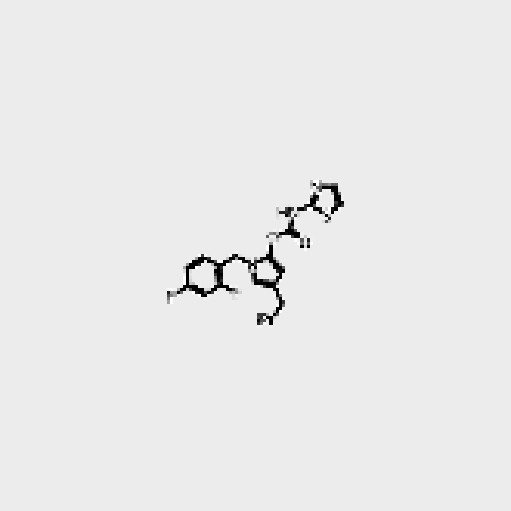 CC(C)Cc1cc(OC(=O)Nc2nccs2)n(Cc2ccc(F)cc2F)c1